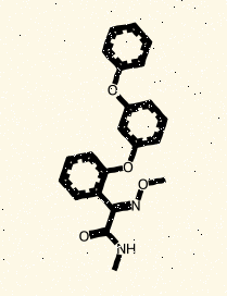 CNC(=O)/C(=N/OC)c1ccccc1Oc1cccc(Oc2ccccc2)c1